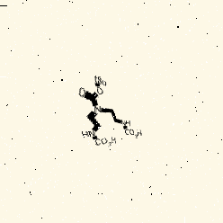 CC(C)(C)OC(=O)N(CCNC(=O)O)CCNC(=O)O